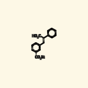 CCOC(=O)c1cccc(/C=C(\C(=O)O)c2ccccc2)c1